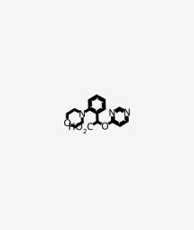 O=C(O)C(Oc1ccncn1)c1ccccc1N1CCOCC1